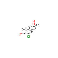 CC(=O)[C@@]1(O)CC[C@H]2[C@@H]3C=C(Cl)C4=CC(=O)C5CC5[C@@]4(C)[C@H]3CC[C@@]21C